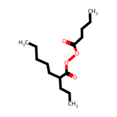 CCCCCC(CCC)C(=O)OOC(=O)CCCC